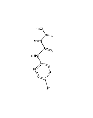 O=C(O)NC(=S)Nc1ccc(Br)cn1